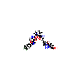 CC(C)[C@H](NC(=O)[C@@H]1CCCN1C(=O)[C@@H](NC(=O)CCCCC(C)(C)NC(=O)c1ccc(O)cn1)C(C)C)C(=O)c1nnc(-c2ccc(C(F)(F)F)cc2)o1